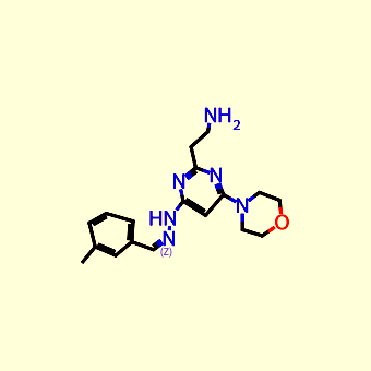 Cc1cccc(/C=N\Nc2cc(N3CCOCC3)nc(CCN)n2)c1